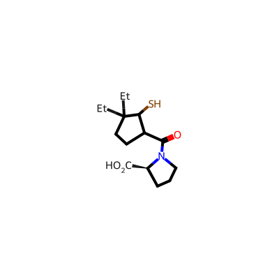 CCC1(CC)CCC(C(=O)N2CCC[C@H]2C(=O)O)C1S